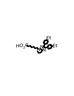 CCc1ccc(-c2nc3c(nc2-c2ccc(CC)cc2)N(CCCCCCC(=O)O)CCC3)cc1